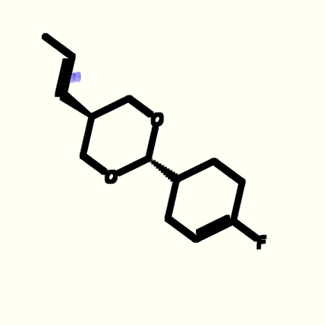 C/C=C/[C@H]1CO[C@H](C2CC=C(F)CC2)OC1